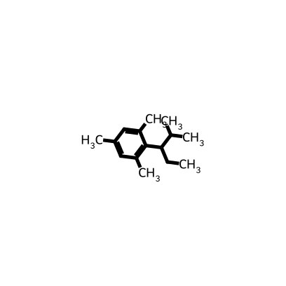 CCC(c1c(C)cc(C)cc1C)C(C)C